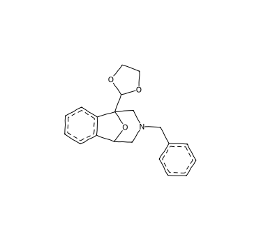 c1ccc(CN2CC3OC(C4OCCO4)(C2)c2ccccc23)cc1